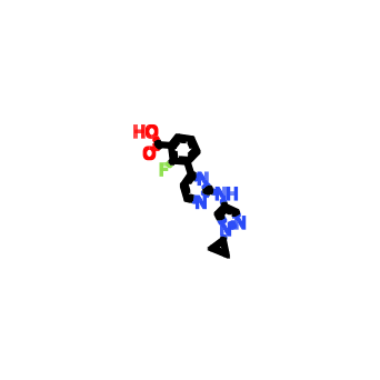 O=C(O)c1cccc(-c2ccnc(Nc3cnn(C4CC4)c3)n2)c1F